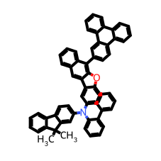 CC1(C)c2ccccc2-c2ccc(N(c3ccc4oc5c(-c6ccc7c8ccccc8c8ccccc8c7c6)c6ccccc6cc5c4c3)c3ccccc3-c3ccccc3)cc21